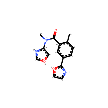 Cc1ccc(-c2ncco2)cc1C(=O)N(C)c1cocn1